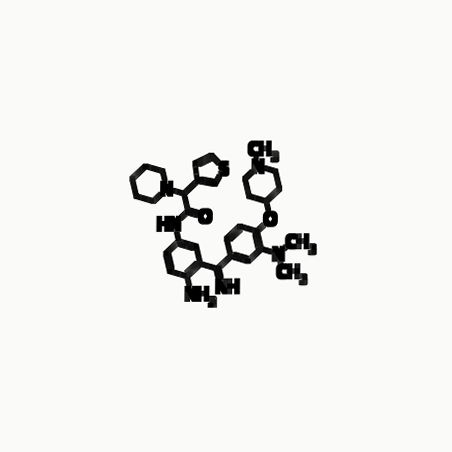 CN1CCC(Oc2ccc(C(=N)c3cc(NC(=O)C(c4ccsc4)N4CCCCC4)ccc3N)cc2N(C)C)CC1